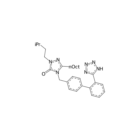 CCCCCCCCc1nn(CCC(C)C)c(=O)n1Cc1ccc(-c2ccccc2-c2nnn[nH]2)cc1